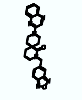 O=C1N(Cc2ccc3nonc3c2)CCCC12CCN(c1cnc3ccccc3n1)CC2